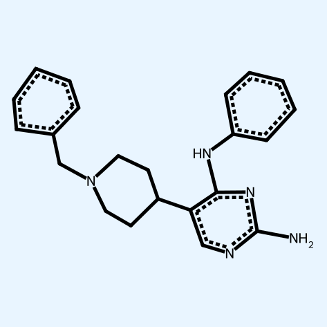 Nc1ncc(C2CCN(Cc3ccccc3)CC2)c(Nc2ccccc2)n1